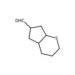 O=CC1CC2CCCSC2C1